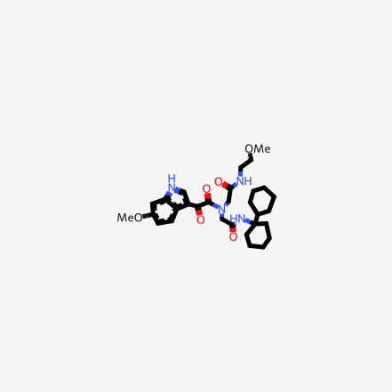 COCCNC(=O)CN(CC(=O)NC1(C2CCCCC2)CCCCC1)C(=O)C(=O)c1c[nH]c2cc(OC)ccc12